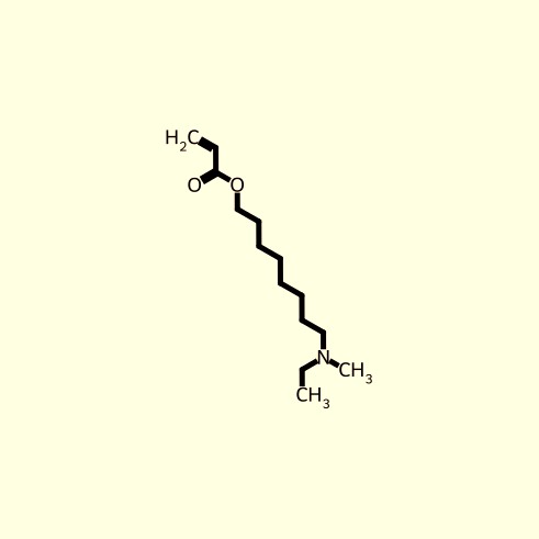 C=CC(=O)OCCCCCCCCN(C)CC